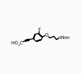 CCCCCCCCCCCCOc1ccc(C#CC(=O)O)cc1F